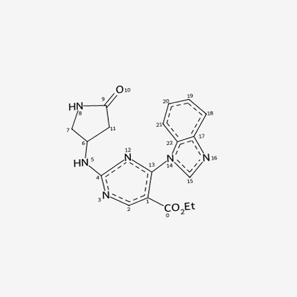 CCOC(=O)c1cnc(NC2CNC(=O)C2)nc1-n1cnc2ccccc21